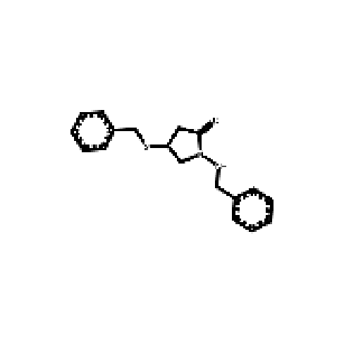 O=C1CC(SCc2ccccc2)CN1NCc1ccccc1